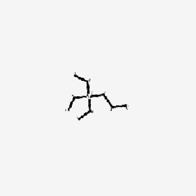 [CH2]CC[Si](CC)(CC)CC